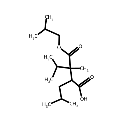 CC(C)COC(=O)C(C)(C(C)C)C(CC(C)C)C(=O)O